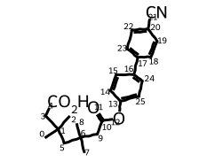 CC(C)(CC(=O)O)CC(C)(C)CC(=O)Oc1ccc(-c2ccc(C#N)cc2)cc1